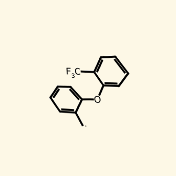 [CH2]c1ccccc1Oc1ccccc1C(F)(F)F